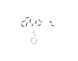 COc1ccc(C(=NOCCN2CCCCC2)c2cccc3ccccc23)cc1.O=C(O)C(=O)O